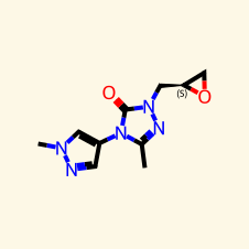 Cc1nn(C[C@H]2CO2)c(=O)n1-c1cnn(C)c1